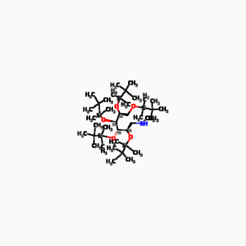 CNC[C@@H](O[Si](C)(C)C(C)(C)C)[C@H](O[Si](C)(C)C(C)(C)C)[C@@H](O[Si](C)(C)C(C)(C)C)[C@H](CO[Si](C)(C)C(C)(C)C)O[Si](C)(C)C(C)(C)C